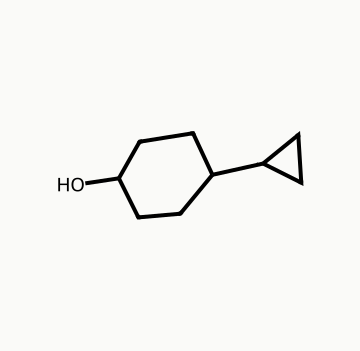 OC1CCC([C]2CC2)CC1